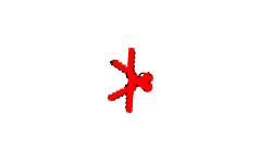 CCCCCCCCCCN(CCCCCCCCCC)c1ccc(N(c2ccc(N(CCCCCCCCCC)CCCCCCCCCC)cc2)c2ccc(N(c3ccc(C)cc3)c3ccc(C)cc3)c(Cl)c2)cc1